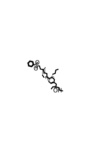 CCCC[C@@H]1CC(C[C@](O)(CC)CCC)=CC[C@H]1[C@@H]1CC[C@H]([C@H](C)CCS(=O)(=O)c2ccccc2)C1